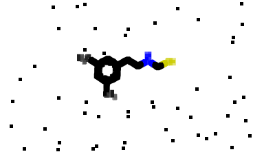 Cc1cc(C)cc(CCNCS)c1